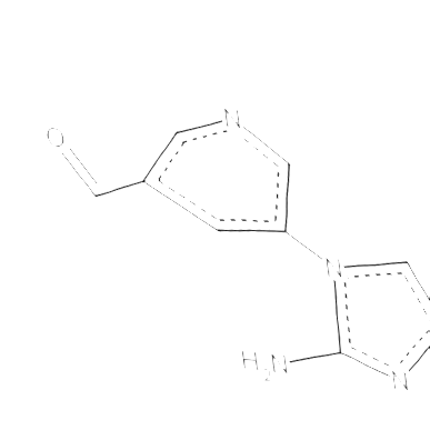 Nc1nccn1-c1cncc(C=O)c1